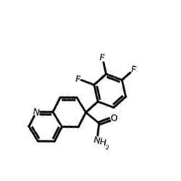 NC(=O)C1(c2ccc(F)c(F)c2F)C=Cc2ncccc2C1